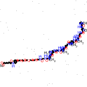 Cn1cc(NC(=O)c2nc(NC(=O)CCNC(=O)c3cc(NC(=O)c4nccn4C)cn3C)cn2C)cc1C(=O)NCCCC(=O)Nc1cn(C)c(C(=O)NCCC(=O)Nc2cc(C(=O)Nc3cn(C)c(C(=O)NCCC(=O)NCCOCCOCCOCCOCCOCCOc4ccc(NC(=O)CCCCCCC(=O)OC(C)(C)C)cc4)n3)n(C)c2)n1